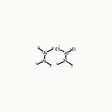 C[CH2][Al]([CH2]C)[N](C)C.C[N](C)[Al]([CH3])[CH3]